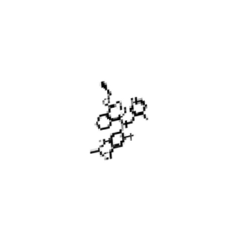 C#CCOC(=O)C1=C(C(=O)N(Cc2cnccc2C)c2cc(OC(C)C)c(Cl)cc2F)CCCC1